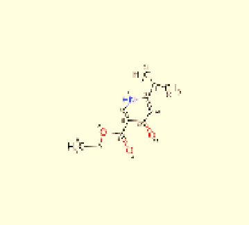 CCOC(=O)c1c[nH]c(C(C)C)cc1=O